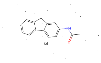 CC(=O)Nc1ccc2c(c1)Cc1ccccc1-2.[Cd]